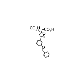 O=C(O)CC1(CC(=O)O)CC(c2cccc(OCc3ccccc3)c2)=NO1